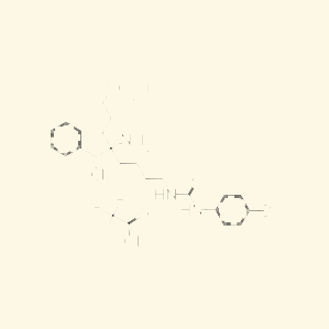 C[C@H](c1ccccc1)C(N)(CCCCNC(=O)Nc1ccc(Br)cc1)CCCC(=O)O.O=C(O)C(F)(F)F